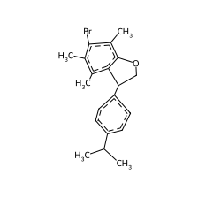 Cc1c(C)c2c(c(C)c1Br)OCC2c1ccc(C(C)C)cc1